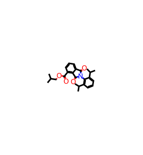 CC(C)COC(=O)c1cccc2c1C(=O)N(c1c(C(C)C)cccc1C(C)C)C2=O